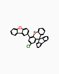 Clc1cc(-c2ccc3oc4ccccc4c3c2)c2c(c1)C1(c3ccccc3S2)c2ccccc2-c2ccccc21